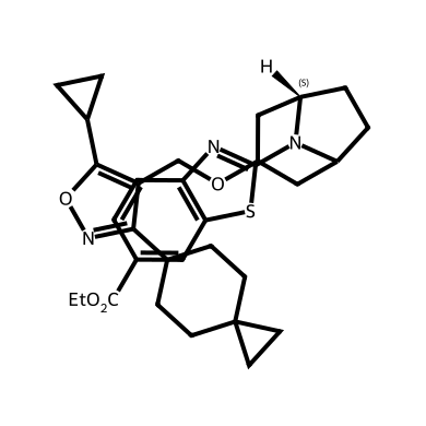 CCOC(=O)c1ccc2nc(N3C4CC[C@H]3CC(OCc3c(C5CCC6(CC5)CC6)noc3C3CC3)C4)sc2c1